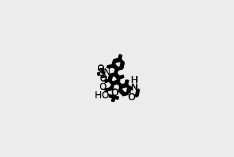 Cc1ccc2c(c1)CN(S(C)(=O)=O)c1c(C)c([C@H](OC(C)(C)C)C(=O)O)c(-c3ccc4c(c3C)NCCO4)c(C)c1-2